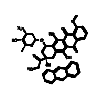 COc1cccc2c1C(=O)c1c(O)c3c(c(O)c1C2=O)C[C@@](O)(C(=O)CO)C[C@@H]3O[C@H]1C[C@H](N)[C@@H](O)[C@H](C)O1.c1ccc2cc3ccccc3cc2c1